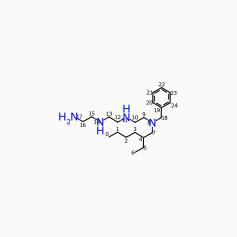 CCCCC(CC)CN(CCNCCNCCN)Cc1ccccc1